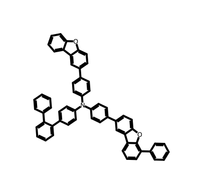 c1ccc(-c2ccccc2-c2ccc(N(c3ccc(-c4ccc5oc6ccccc6c5c4)cc3)c3ccc(-c4ccc5oc6c(-c7ccccc7)cccc6c5c4)cc3)cc2)cc1